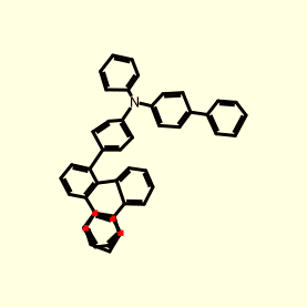 c1ccc(-c2ccc(N(c3ccccc3)c3ccc(-c4cccc(-c5ccccc5)c4-c4ccccc4-c4ccccc4)cc3)cc2)cc1